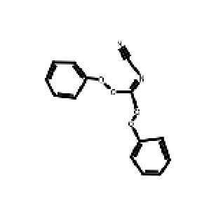 N#CN=C(OOc1ccccc1)OOc1ccccc1